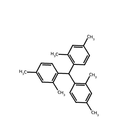 Cc1ccc([C](c2ccc(C)cc2C)c2ccc(C)cc2C)c(C)c1